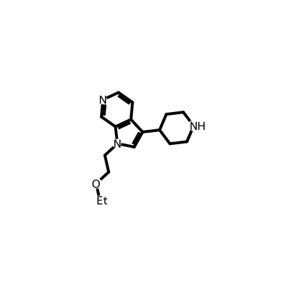 CCOCCn1cc(C2CCNCC2)c2ccncc21